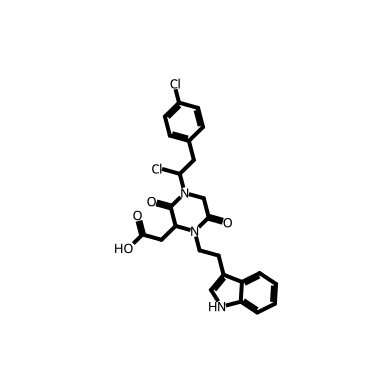 O=C(O)CC1C(=O)N(C(Cl)Cc2ccc(Cl)cc2)CC(=O)N1CCc1c[nH]c2ccccc12